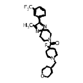 CC1=NC2(CCN(C(=O)C3(F)CCN(CC4CCOCC4)CC3)CC2)N=C1c1cccc(C(F)(F)F)c1